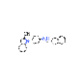 N#Cc1cc2ccccc2n1-c1ccc(NCC2Cc3ccccc3C2)cc1